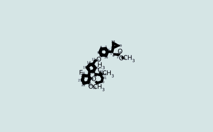 COC(=O)C[C@H](c1cccc(OCc2ccc(-c3cc(OC)ccc3F)c([C@@H]3OCCCC3(C)C)c2)c1)C1CC1